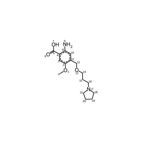 COc1cc(C(=O)O)c(N)cc1COCCCN1CCCC1